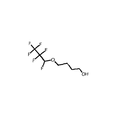 OCCCCOC(F)C(F)(F)C(F)(F)F